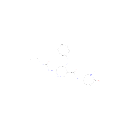 CCNC(=O)Nc1cc(Nc2ccccc2)c(C(=O)Nc2ccc(=O)n(C)c2)cn1